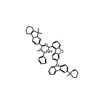 CN1C(C2=CC3C(C=C2)C2=C(CCCC2)C3(C)C)=NC(c2cccc3oc4cc(-n5c6ccccc6c6cc(C7(C)C=CCCC7)ccc65)ccc4c23)NC1c1ccccc1